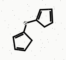 C1=CCC([Si]C2=CC=CC2)=C1